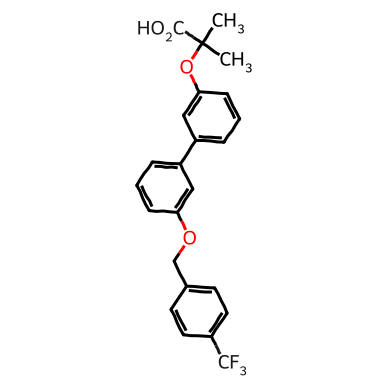 CC(C)(Oc1cccc(-c2cccc(OCc3ccc(C(F)(F)F)cc3)c2)c1)C(=O)O